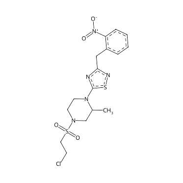 CC1CN(S(=O)(=O)CCCl)CCN1c1nc(Cc2ccccc2[N+](=O)[O-])ns1